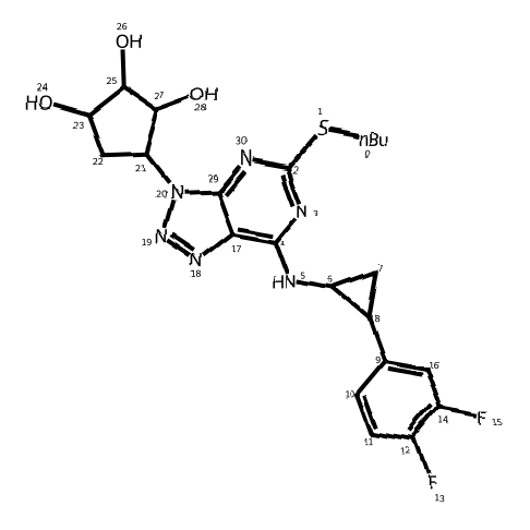 CCCCSc1nc(NC2CC2c2ccc(F)c(F)c2)c2nnn(C3CC(O)C(O)C3O)c2n1